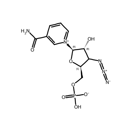 [N-]=[N+]=NC1[C@@H](O)[C@H]([n+]2cccc(C(N)=O)c2)O[C@@H]1COP(=O)([O-])O